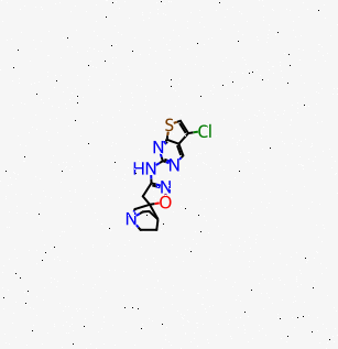 Clc1csc2nc(NC3=NOC4(C3)CN3CCC4CC3)ncc12